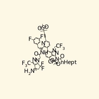 CCCCCCCC(=O)N(c1nn(CC(F)(F)F)c2c(-c3ccc(C#CC(C)(C)S(C)(=O)=O)nc3[C@H](Cc3cc(F)cc(F)c3)NC(=O)Cn3nc(C(F)(F)F)c4c3C(F)(F)C[C@@H]4N)ccc(Cl)c12)S(C)(=O)=O